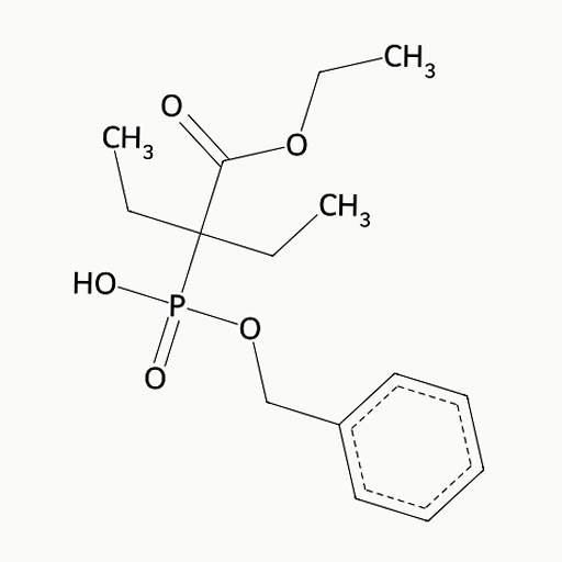 CCOC(=O)C(CC)(CC)P(=O)(O)OCc1ccccc1